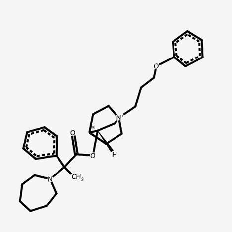 CC(C(=O)O[C@H]1C[N+]2(CCCOc3ccccc3)CCC1CC2)(c1ccccc1)N1CCCCCC1